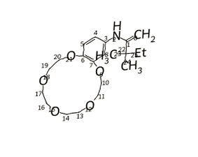 C=C(Nc1ccc2c(c1)OCCOCCOCCOCCO2)C(C)(C)CC